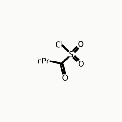 CCCC(=O)S(=O)(=O)Cl